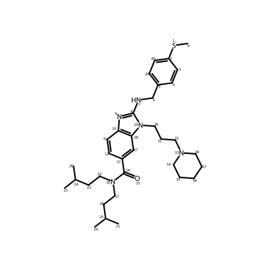 CSc1ccc(CNc2nc3ccc(C(=O)N(CCC(C)C)CCC(C)C)cc3n2CCCN2CCCCC2)cc1